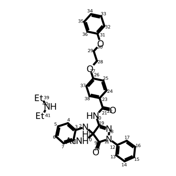 CC(=O)NC1(Nc2ccccc2)C(=O)N(c2ccccc2)N=C1NC(=O)c1ccc(OCCOc2ccccc2)cc1.CCNCC